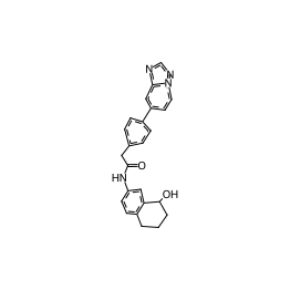 O=C(Cc1ccc(-c2ccn3ncnc3c2)cc1)Nc1ccc2c(c1)C(O)CCC2